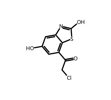 O=C(CCl)c1cc(O)cc2nc(O)sc12